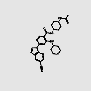 CC(=O)N[C@H]1CC[C@H](NC(=O)c2cnc(-n3ccc4cc(C#N)cnc43)cc2NC2CCOCC2)CC1